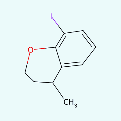 CC1CCOc2c(I)cccc21